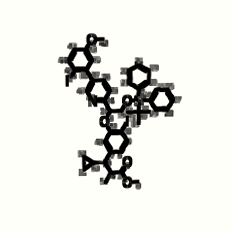 COC(=O)[C@@H](C)[C@H](c1ccc(I)c(OC(CO[Si](c2ccccc2)(c2ccccc2)C(C)(C)C)c2ccc(-c3cc(OC)ccc3F)cn2)c1)C1CC1